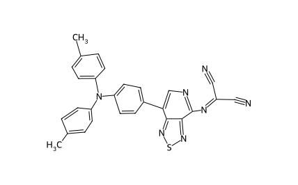 Cc1ccc(N(c2ccc(C)cc2)c2ccc(-c3cnc(N=C(C#N)C#N)c4nsnc34)cc2)cc1